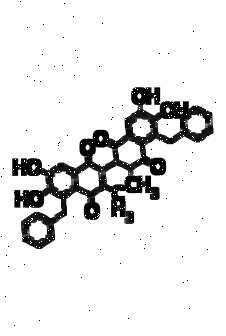 CC1=C(C2C(=O)c3cc(O)c(O)c(Cc4ccccc4)c3C(=O)C2C)C(=O)c2cc(O)c(O)c(Cc3ccccc3)c2C1=O